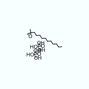 CCCCCCCCCCCC1(C)CO1.O=P(O)(O)O.O=P(O)(O)O